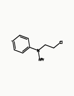 CCCN(CCCl)c1cc[c]cc1